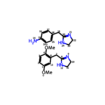 COc1ccc(OC)c(CC2=NCCN2)c1.Nc1ccc(CC2=NCCN2)cc1